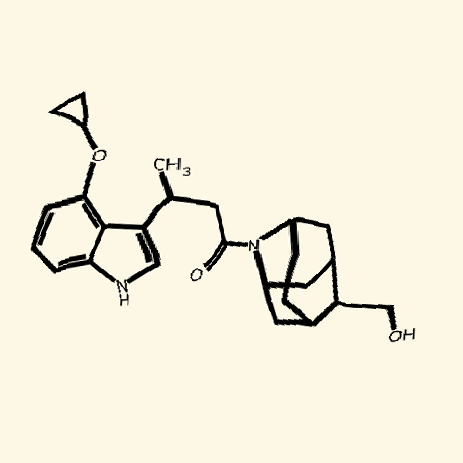 CC(CC(=O)N1C2CC3CC1CC(C2)C3CO)c1c[nH]c2cccc(OC3CC3)c12